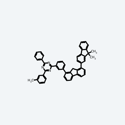 Cc1cccc(-c2nc(-c3ccccc3)nc(-c3cccc(-c4cccc5c4Cc4c(-c6ccc7c(c6)C(C)(C)c6ccccc6-7)cccc4-5)c3)n2)c1